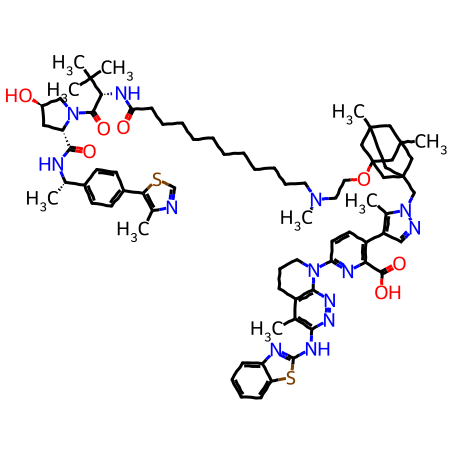 Cc1ncsc1-c1ccc([C@H](C)NC(=O)[C@@H]2C[C@@H](O)CN2C(=O)[C@@H](NC(=O)CCCCCCCCCCCN(C)CCOC23CC4(C)CC(C)(CC(Cn5ncc(-c6ccc(N7CCCc8c7nnc(Nc7nc9ccccc9s7)c8C)nc6C(=O)O)c5C)(C4)C2)C3)C(C)(C)C)cc1